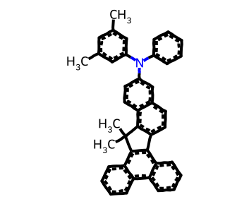 Cc1cc(C)cc(N(c2ccccc2)c2ccc3c4c(ccc3c2)-c2c(c3ccccc3c3ccccc23)C4(C)C)c1